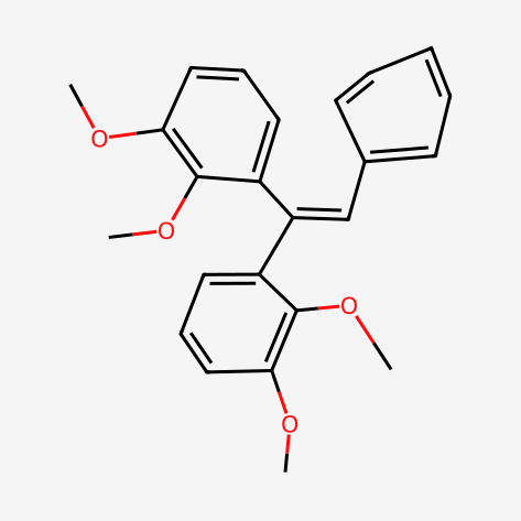 COc1cccc(C(=Cc2ccccc2)c2cccc(OC)c2OC)c1OC